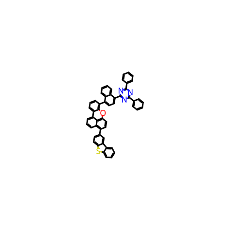 c1ccc(-c2nc(-c3ccccc3)nc(-c3ccc(-c4cccc5c4Oc4ccc(-c6ccc7sc8ccccc8c7c6)c6cccc-5c46)c4ccccc34)n2)cc1